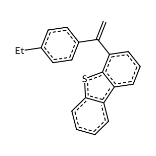 C=C(c1ccc(CC)cc1)c1cccc2c1sc1ccccc12